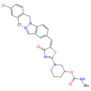 CC(C)(C)NC(=O)OC1CCCN(C2=NC(=O)C(=Cc3ccc4c(cnn4Cc4ccc(Cl)cc4C(F)(F)F)c3)S2)C1